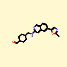 Cc1ncc(-c2ccc3cnc(NCC4CCC(C=O)CC4)cc3c2)o1